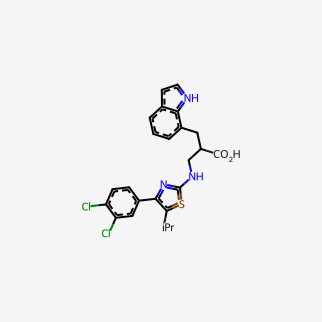 CC(C)c1sc(NCC(Cc2cccc3cc[nH]c23)C(=O)O)nc1-c1ccc(Cl)c(Cl)c1